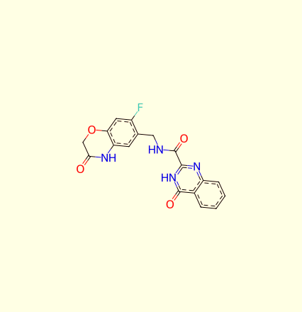 O=C1COc2cc(F)c(CNC(=O)c3nc4ccccc4c(=O)[nH]3)cc2N1